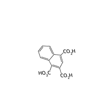 O=C(O)c1cc(C(=O)O)c2ccccc2c1C(=O)O